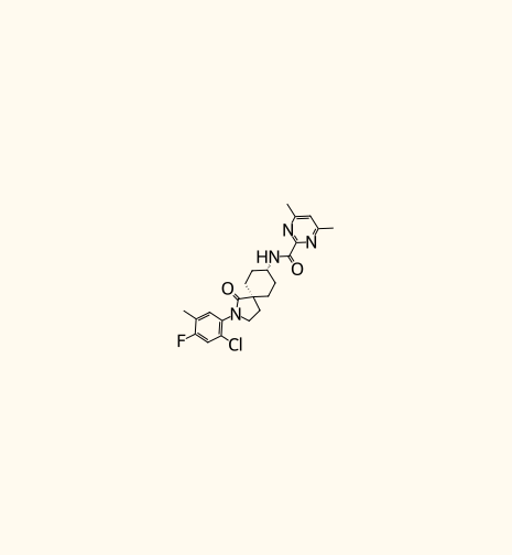 Cc1cc(C)nc(C(=O)N[C@H]2CC[C@@]3(CCN(c4cc(C)c(F)cc4Cl)C3=O)CC2)n1